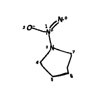 [N]=[N+]([O-])N1CCCC1